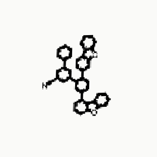 N#Cc1cc(-c2ccccc2)cc(-c2cc(-c3cccc4oc5ccccc5c34)ccc2-c2ccc3c(c2)oc2ccccc23)c1